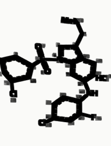 CNCc1cn(S(=O)(=O)c2cccc(Cl)c2)c2cc(Nc3ccc(Cl)cc3F)ccc12.Cl